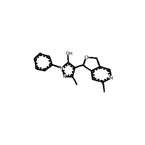 Cc1cc2c(cn1)COC2c1c(C)nn(-c2ccccc2)c1O